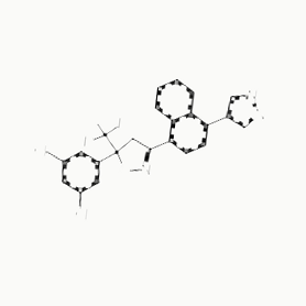 FC(F)(F)C1(c2cc(Cl)cc(Cl)c2)CC(c2ccc(-c3cn[nH]c3)c3ccccc23)=NO1